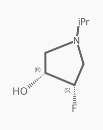 CC(C)N1C[C@@H](O)[C@@H](F)C1